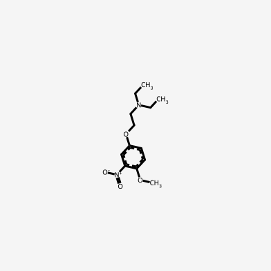 CCN(CC)CCOc1ccc(OC)c([N+](=O)[O-])c1